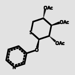 CC(=O)O[C@H]1[C@H](OC(C)=O)[C@@H](Oc2cccnc2)SC[C@@H]1OC(C)=O